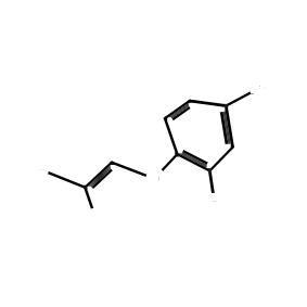 FC(F)=COc1ccc(Br)cc1F